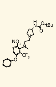 CN(CCN1CC[C@@H](NC(=O)OC(C)(C)C)C1)c1c([N+](=O)[O-])ccc(Oc2ccccc2)c1C(F)(F)F